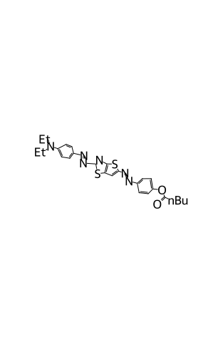 CCCCC(=O)Oc1ccc(N=Nc2cc3sc(N=Nc4ccc(N(CC)CC)cc4)nc3s2)cc1